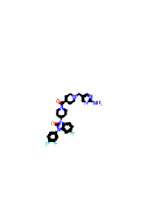 Nc1ncc(CN2CCC(C(=O)N3CCC(n4c(=O)n(-c5ccc(F)c(F)c5)c5cc(F)ccc54)CC3)CC2)cn1